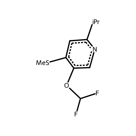 CSc1cc(C(C)C)ncc1OC(F)F